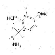 COc1ccc(C(C)(C)CN)cc1C.Cl